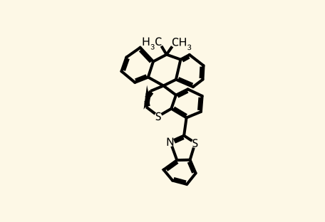 CC1(C)c2ccccc2C2(c3ccccc3Sc3c(-c4nc5ccccc5s4)cccc32)c2ccccc21